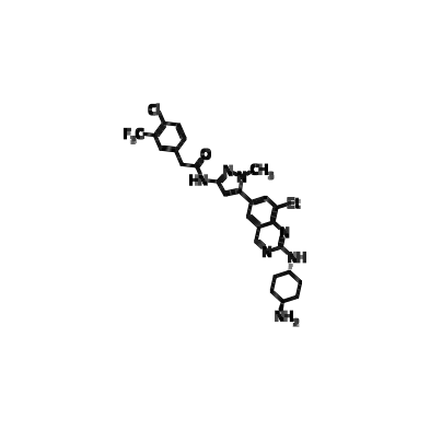 CCc1cc(-c2cc(NC(=O)Cc3ccc(Cl)c(C(F)(F)F)c3)nn2C)cc2cnc(N[C@H]3CC[C@H](N)CC3)nc12